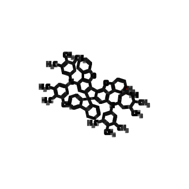 CC1=CC(N(c2cc(C)c(C)c(C)c2)c2cc3c(c4oc5c(c24)CCC=C5)-c2c(cc(N(C4=CC(C)=C(C)C(C)C4)c4cc(C)c(C)c(C)c4)c4c5c(oc24)C=CCC5)C32C3=C(CCC=C3)c3ccccc32)=CC(C)NC1C